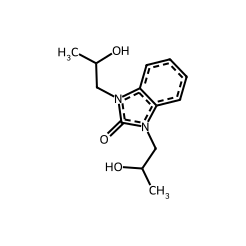 CC(O)Cn1c(=O)n(CC(C)O)c2ccccc21